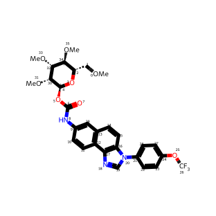 COC[C@@H]1O[C@@H](OC(=O)Nc2ccc3c(ccc4c3ncn4-c3ccc(OC(F)(F)F)cc3)c2)[C@H](OC)[C@H](OC)[C@H]1OC